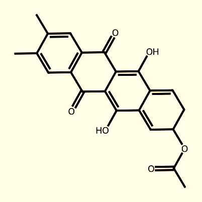 CC(=O)OC1C=c2c(O)c3c(c(O)c2=CC1)C(=O)c1cc(C)c(C)cc1C3=O